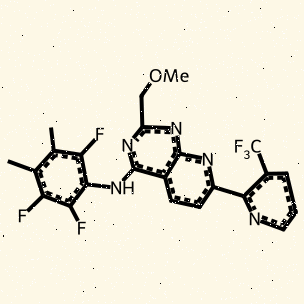 COCc1nc(Nc2c(F)c(C)c(C)c(F)c2F)c2ccc(-c3ncccc3C(F)(F)F)nc2n1